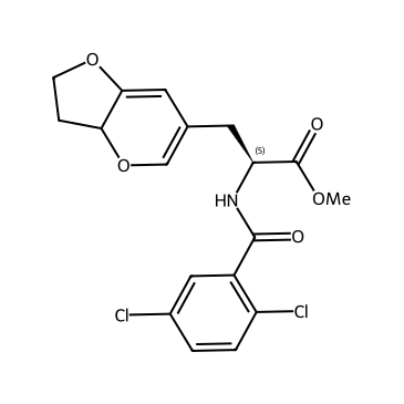 COC(=O)[C@H](CC1=COC2CCOC2=C1)NC(=O)c1cc(Cl)ccc1Cl